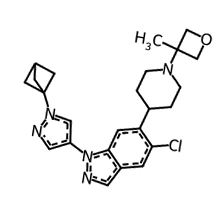 CC1(N2CCC(c3cc4c(cnn4-c4cnn(C56CC(C5)C6)c4)cc3Cl)CC2)COC1